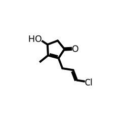 CC1=C(C/C=C/Cl)C(=O)CC1O